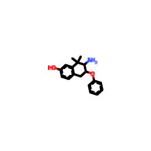 CC1(C)c2cc(O)ccc2CC(Oc2ccccc2)C1N